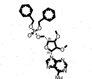 COC1C(OC)[C@@H](COP(=O)(OCc2ccccc2)OCc2ccccc2)O[C@H]1n1cnc2c(N)ncnc21